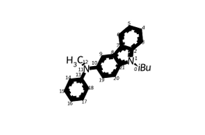 CC[C@@H](C)n1c2ccccc2c2cc(N(C)c3ccccc3)ccc21